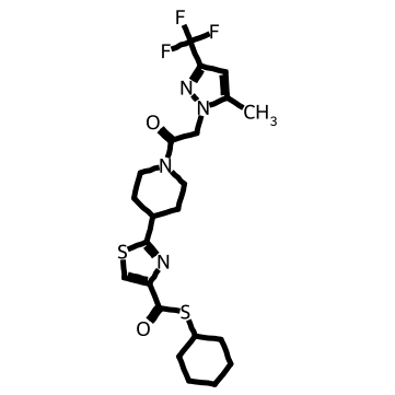 Cc1cc(C(F)(F)F)nn1CC(=O)N1CCC(c2nc(C(=O)SC3CCCCC3)cs2)CC1